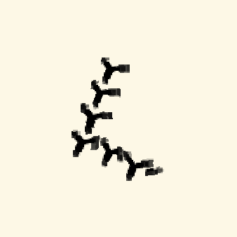 OC(=S)[S-].OC(=S)[S-].OC(=S)[S-].OC(=S)[S-].OC(=S)[S-].OC(=S)[S-].[Mo+6]